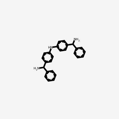 NC(c1ccccc1)c1ccc(Nc2ccc(C(N)c3ccccc3)cc2)cc1